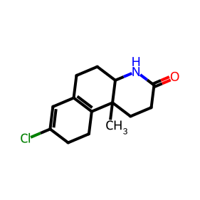 CC12CCC(=O)NC1CCC1=C2CCC(Cl)=C1